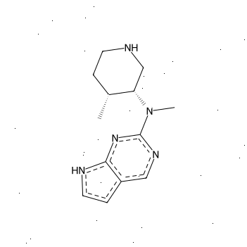 C[C@@H]1CCNC[C@@H]1N(C)c1ncc2cc[nH]c2n1